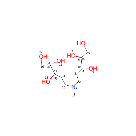 CN(CC[C@@H](O)[C@@H](O)CO)CC[C@@H](O)[C@@H](O)CO